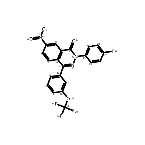 O=c1c2cc([N+](=O)[O-])ccc2c(-c2cccc(OC(F)(F)F)c2)nn1-c1ccc(F)cc1